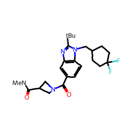 CNC(=O)C1CN(C(=O)c2ccc3c(c2)nc(C(C)(C)C)n3CC2CCC(F)(F)CC2)C1